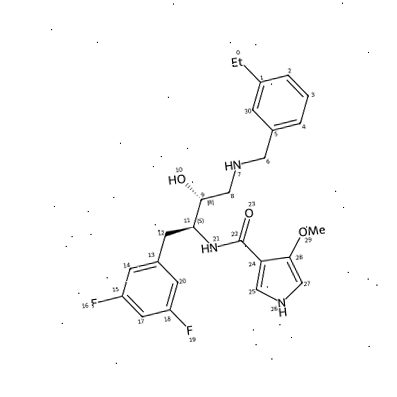 CCc1cccc(CNC[C@@H](O)[C@H](Cc2cc(F)cc(F)c2)NC(=O)c2c[nH]cc2OC)c1